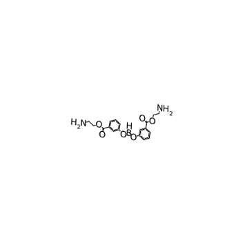 NCCOC(=O)c1cccc(OBOc2cccc(C(=O)OCCN)c2)c1